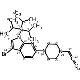 CC(C)[Si](C(C)C)(C(C)C)n1cc(Br)c2ccc(N3CCN(C=C=O)CC3)nc21